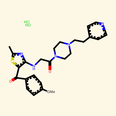 COc1ccc(C(=O)c2sc(C)nc2NCC(=O)N2CCN(CCc3ccncc3)CC2)cc1.Cl.Cl